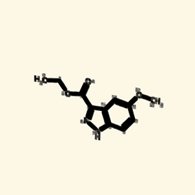 CCOC(=O)c1n[nH]c2ccc(OC)cc12